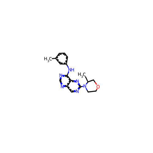 Cc1cccc(Nc2ncnc3cnc(N4CCOCC4C)nc23)c1